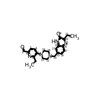 CCc1nc(C=O)ccc1N1CCN(Cc2ccc3nc(CC)c(=O)[nH]c3c2)CC1